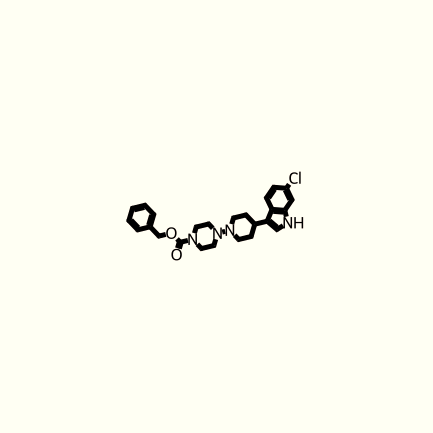 O=C(OCc1ccccc1)N1CCN(N2CCC(c3c[nH]c4cc(Cl)ccc34)CC2)CC1